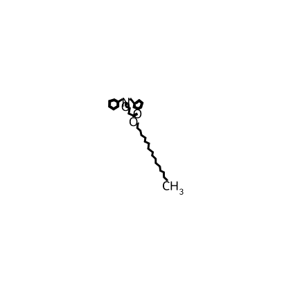 CCCCCCCCCCCCCCCCCCOC(=O)CCON(Cc1ccccc1)Cc1ccccc1